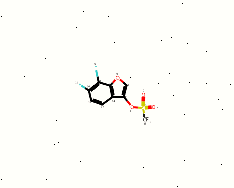 O=S(=O)(Oc1coc2c(F)c(F)ccc12)C(F)(F)F